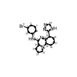 Brc1cccc(Nc2nc3c(-c4nnc[nH]4)cccc3n3cccc23)c1